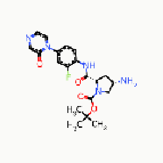 CC(C)(C)OC(=O)N1C[C@@H](N)C[C@H]1C(=O)Nc1ccc(-n2ccncc2=O)cc1F